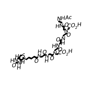 CC(=O)NCCNC(=O)CN(CC(=O)O)C(=O)CNC(=O)CNC(=O)CN(CC(=O)O)C(=O)CNC(=O)CNC(=O)CCCC[C@@H]1SC[C@@H]2NC(=O)N[C@@H]21